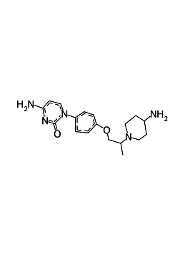 CC(COc1ccc(-n2ccc(N)nc2=O)cc1)N1CCC(N)CC1